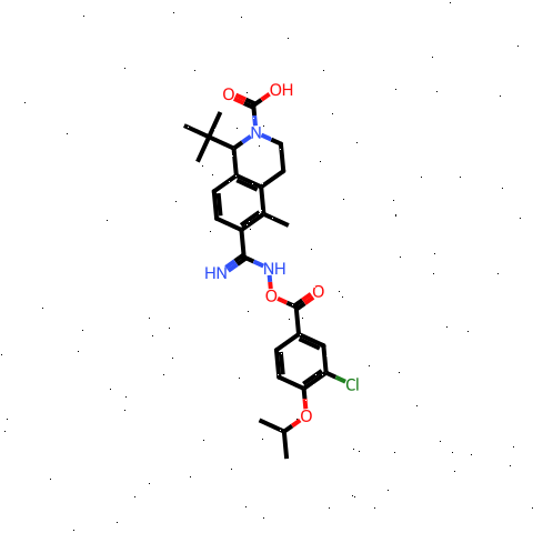 Cc1c(C(=N)NOC(=O)c2ccc(OC(C)C)c(Cl)c2)ccc2c1CCN(C(=O)O)C2C(C)(C)C